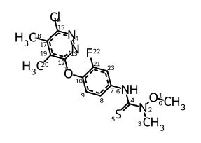 CON(C)C(=S)Nc1ccc(Oc2nnc(Cl)c(C)c2C)c(F)c1